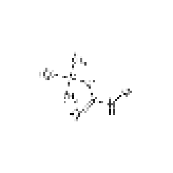 C=C(NC#N)OC(C)(C)C